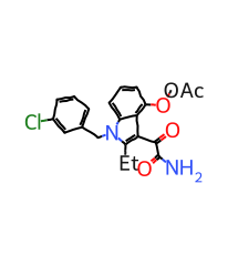 CCc1c(C(=O)C(N)=O)c2c(OOC(C)=O)cccc2n1Cc1cccc(Cl)c1